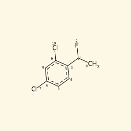 C[C](F)c1ccc(Cl)cc1Cl